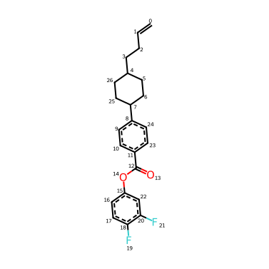 C=CCCC1CCC(c2ccc(C(=O)Oc3ccc(F)c(F)c3)cc2)CC1